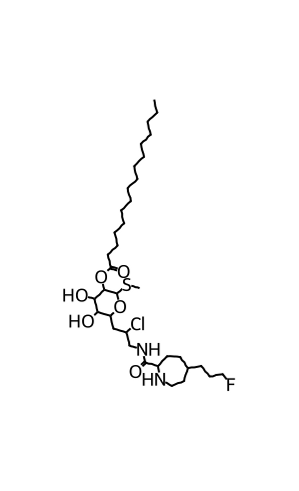 CCCCCCCCCCCCCCCC(=O)OC1C(SC)OC(CC(Cl)CNC(=O)C2CCC(CCCF)CCN2)C(O)C1O